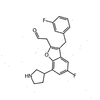 O=CCc1oc2c(C3CCNC3)cc(F)cc2c1Cc1cccc(F)c1